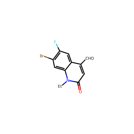 CCn1c(=O)cc(C=O)c2cc(F)c(Br)cc21